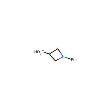 C[CH]N1CC(C(=O)O)C1